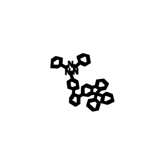 c1ccc(-c2nc(-c3ccccc3)nc(-c3ccc(-c4ccccc4-c4ccc5c(c4)C(c4ccccc4)(c4ccccc4)c4ccccc4-5)cc3)n2)cc1